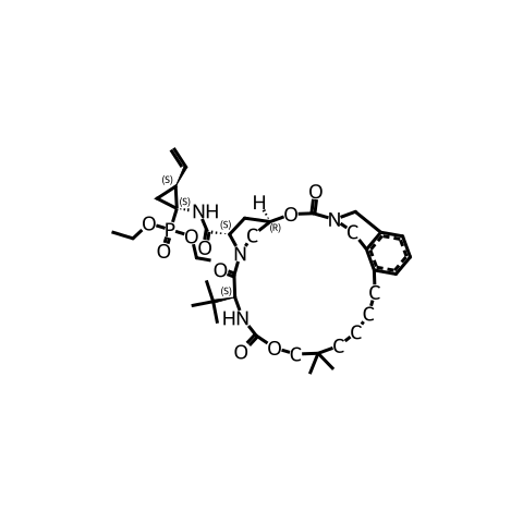 C=C[C@@H]1C[C@]1(NC(=O)[C@@H]1C[C@@H]2CN1C(=O)[C@H](C(C)(C)C)NC(=O)OCC(C)(C)CCCCc1cccc3c1CN(C3)C(=O)O2)P(=O)(OCC)OCC